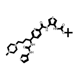 CN1CCN(CCCC(NC(=O)Nc2ccsc2)c2ccc(C(=O)Nc3cscc3NC(=O)OC(C)(C)C)nc2)CC1